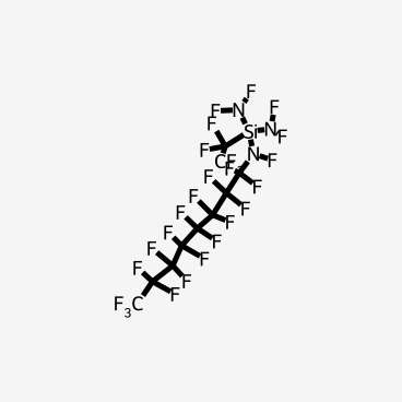 FN(F)[Si](N(F)F)(N(F)C(F)(F)C(F)(F)C(F)(F)C(F)(F)C(F)(F)C(F)(F)C(F)(F)C(F)(F)F)C(F)(F)C(F)(F)F